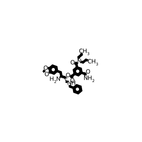 CCCN(CCC)C(=O)c1cc(C(N)=O)cc(C(=O)O[C@H](CNCc2ccccc2)[C@@H](N)Cc2ccc3c(c2)OCO3)c1